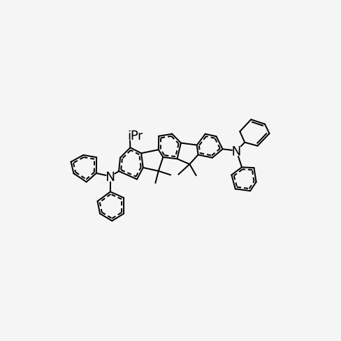 CC(C)c1cc(N(c2ccccc2)c2ccccc2)cc2c1-c1ccc3c(c1C2(C)C)C(C)(C)c1cc(N(c2ccccc2)C2C=CC=CC2)ccc1-3